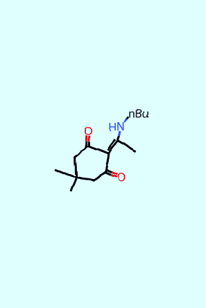 CCCCNC(C)=C1C(=O)CC(C)(C)CC1=O